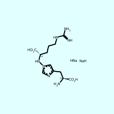 N=C(N)NCCC[C@H](Nn1cnc(C[C@H](N)C(=O)O)c1)C(=O)O.[NaH].[NaH]